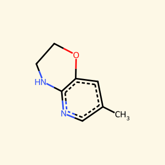 Cc1cnc2c(c1)OCCN2